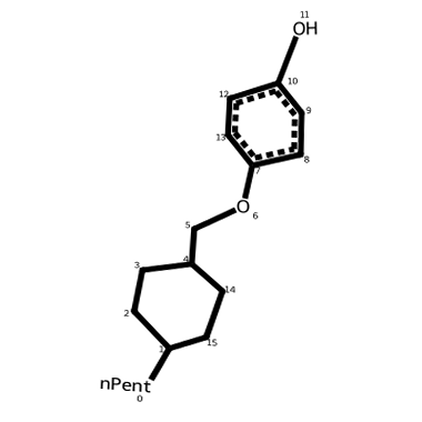 CCCCCC1CCC(COc2ccc(O)cc2)CC1